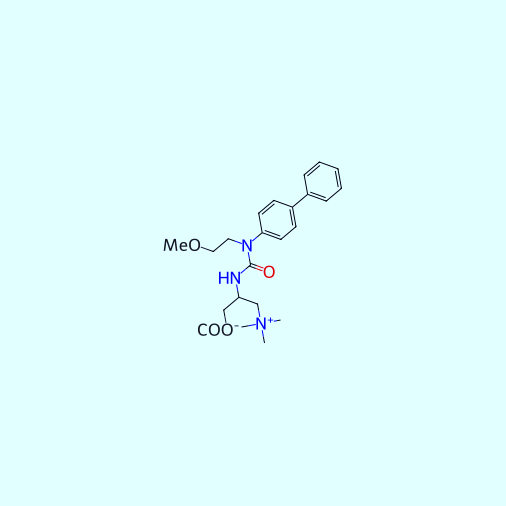 COCCN(C(=O)NC(CC(=O)[O-])C[N+](C)(C)C)c1ccc(-c2ccccc2)cc1